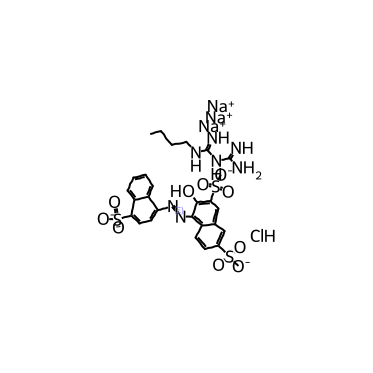 CCCCNC(=N)NC(=N)N.Cl.O=S(=O)([O-])c1ccc2c(/N=N/c3ccc(S(=O)(=O)[O-])c4ccccc34)c(O)c(S(=O)(=O)[O-])cc2c1.[Na+].[Na+].[Na+]